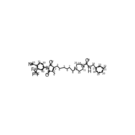 CC1=C(CCCCCCN2CCN(C(=O)NCc3cccc(C)c3)CC2)C(=O)N(c2ccc(C#N)c(C(F)(F)F)c2)C1=O